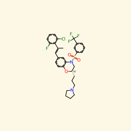 CC(=Cc1ccc2c(c1)N(S(=O)(=O)c1cccc(C(F)(F)F)c1)C[C@H](CCCN1CCCC1)O2)c1c(F)cccc1Cl